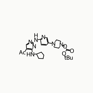 CC(=O)c1cnc(Nc2ccc(N3CCN(OC(=O)OC(C)(C)C)CC3)cn2)nc1NC1CCCC1